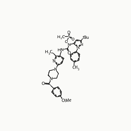 COc1ccc(C(=O)N2CCN(c3ccc(NC(=O)N(OS(C)(=O)=O)c4cc(C(C)(C)C)nn4-c4ccc(C)cc4)c(C)n3)CC2)cc1